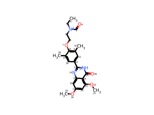 CCN(C=O)CCOc1c(C)cc(-c2nc3cc(OC)cc(OC)c3c(=O)[nH]2)cc1C